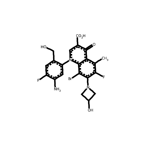 Cc1c(F)c(N2CC(O)C2)c(Br)c2c1c(=O)c(C(=O)O)cn2-c1cc(N)c(F)cc1CO